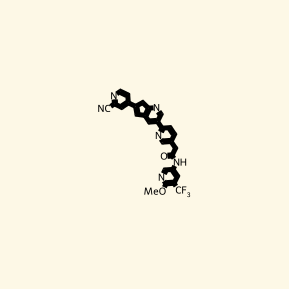 COc1ncc(NC(=O)Cc2ccc(-c3cnc4c(c3)C=C(c3ccnc(C#N)c3)C4)nc2)cc1C(F)(F)F